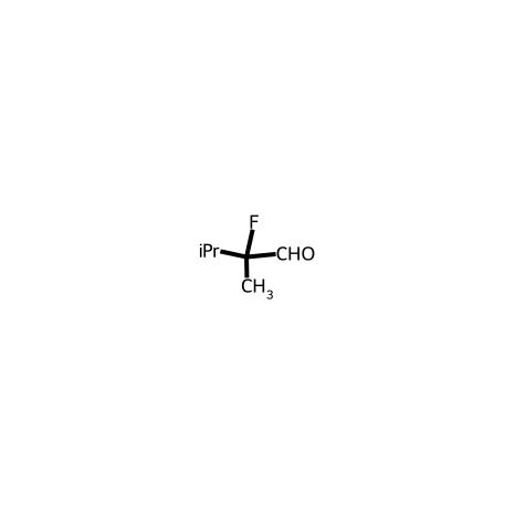 CC(C)C(C)(F)C=O